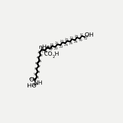 CCCCCCC(CCCCCCCCCCC(=O)NO)C(CCCCCCCCCCCCCCCCO)C(=O)O